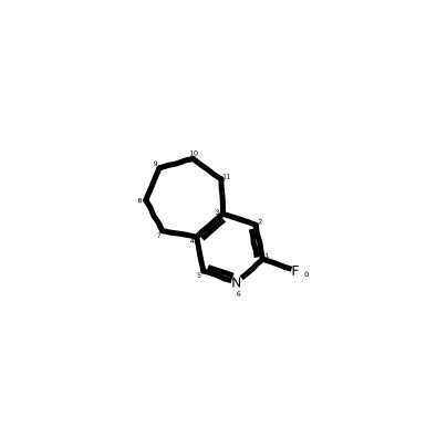 Fc1cc2c(cn1)CCCCC2